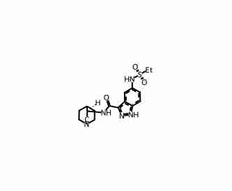 CCS(=O)(=O)Nc1ccc2[nH]nc(C(=O)N[C@H]3CN4CCC3CC4)c2c1